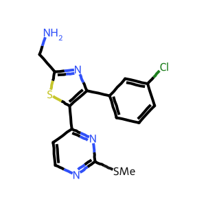 CSc1nccc(-c2sc(CN)nc2-c2cccc(Cl)c2)n1